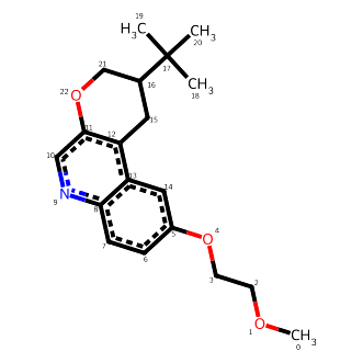 COCCOc1ccc2ncc3c(c2c1)CC(C(C)(C)C)CO3